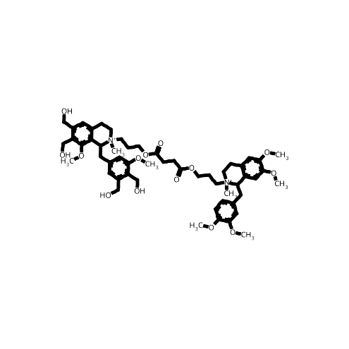 COc1ccc(CC2c3cc(OC)c(OC)cc3CC[N+]2(C)CCCOC(=O)CCC(=O)OCCC[N+]2(C)CCc3cc(CO)c(CO)c(OC)c3C2Cc2cc(CO)c(CO)c(OC)c2)cc1OC